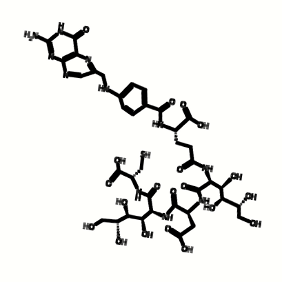 Nc1nc2ncc(CNc3ccc(C(=O)N[C@@H](CCC(=O)N[C@H](C(=O)N[C@@H](CC(=O)O)C(=O)N[C@H](C(=O)N[C@@H](CS)C(=O)O)[C@@H](O)[C@H](O)[C@H](O)CO)[C@@H](O)[C@H](O)[C@H](O)CO)C(=O)O)cc3)nc2c(=O)[nH]1